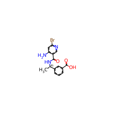 C[C@@H](NC(=O)c1cnc(Br)cc1N)c1cccc(C(=O)O)c1